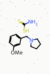 COc1cccc(CN2CCCC2)c1.NC(=S)S